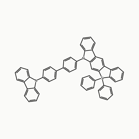 c1ccc([Si]2(c3ccccc3)c3ccccc3-c3cc4c5ccccc5n(-c5ccc(-c6ccc(-n7c8ccccc8c8ccccc87)cc6)cc5)c4cc32)cc1